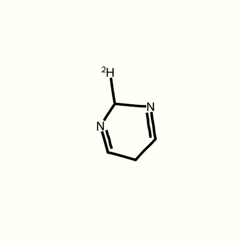 [2H]C1N=CCC=N1